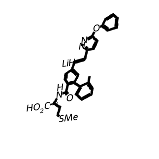 CSCC[C@H](NC(=O)c1ccc(C=Cc2ccc(Oc3ccccc3)nn2)cc1-c1ccccc1C)C(=O)O.[LiH]